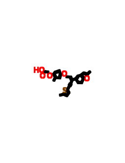 Cc1cc2cc(C(C#Cc3ccc(C)s3)=CCOc3ccc(OCC(=O)O)c(C)c3)ccc2o1